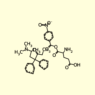 CCC(=O)C(C[C@H](C)N(C)C)(c1ccccc1)c1ccccc1.NC(CCC(=O)O)C(=O)OC(=O)c1ccc([N+](=O)[O-])cc1